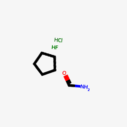 C1CCCC1.Cl.F.NC=O